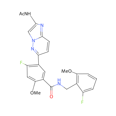 COc1cc(F)c(-c2ccc3nc(NC(C)=O)cn3n2)cc1C(=O)NCc1c(F)cccc1OC